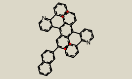 c1ccc(-c2ncccc2-c2c3ccccc3c(-c3cccnc3-c3ccccc3)c3cc(-c4ccc5ccccc5c4)ccc23)cc1